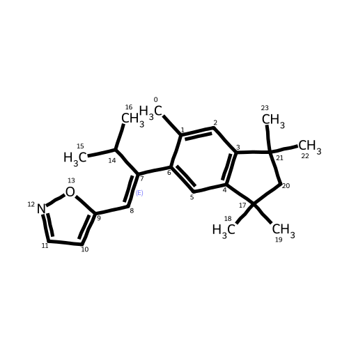 Cc1cc2c(cc1/C(=C/c1ccno1)C(C)C)C(C)(C)CC2(C)C